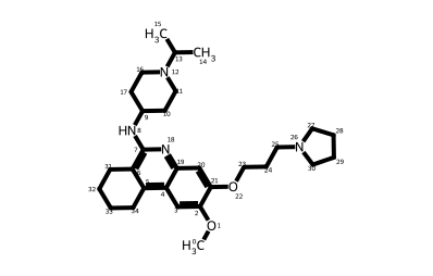 COc1cc2c3c(c(NC4CCN(C(C)C)CC4)nc2cc1OCCCN1CCCC1)CCCC3